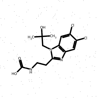 CC(C)(O)Cn1c(CCNC(=O)O)nc2cc(Cl)c(Cl)cc21